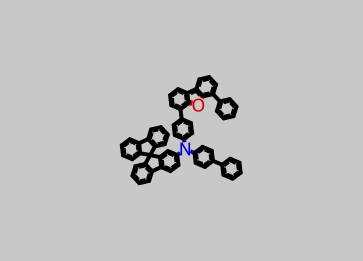 c1ccc(-c2ccc(N(c3ccc(-c4cccc5c4oc4c(-c6ccccc6)cccc45)cc3)c3ccc4c(c3)C3(c5ccccc5-c5ccccc53)c3ccccc3-4)cc2)cc1